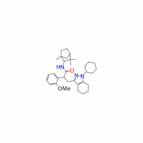 COc1ccccc1C(Cc1nn(C2CCCCC2)c2c1CCCC2)C(=O)NC1C2(C)CCC(C2)C1(C)C